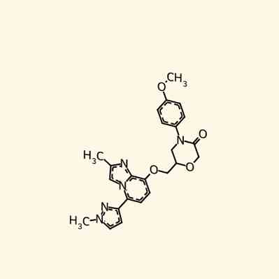 COc1ccc(N2CC(COc3ccc(-c4ccn(C)n4)n4cc(C)nc34)OCC2=O)cc1